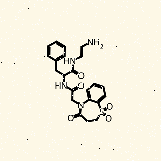 NCCNC(=O)C(Cc1ccccc1)NC(=O)CN1C(=O)CCS(=O)(=O)c2ccccc21